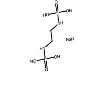 O=P(O)(O)NCCNP(=O)(O)O.[NaH]